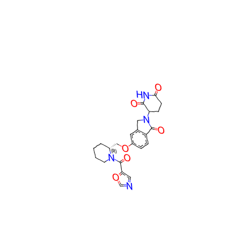 O=C1CCC(N2Cc3cc(OC[C@H]4CCCCN4C(=O)c4cnco4)ccc3C2=O)C(=O)N1